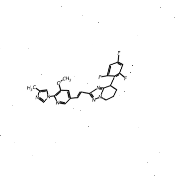 COc1cc(/C=C/c2nc3n(n2)CCCC3c2c(F)cc(F)cc2F)cnc1-n1cnc(C)c1